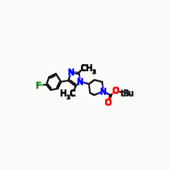 Cc1nc(-c2ccc(F)cc2)c(C)n1C1CCN(C(=O)OC(C)(C)C)CC1